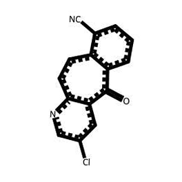 N#Cc1cccc2c(=O)c3cc(Cl)cnc3ccc12